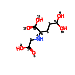 O=C(O)CNC(CCC(O)O)C(=O)O